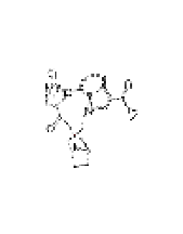 COc1cccc2c(C(=O)C3CC3)cn(CCCN3C4CCC3CC(CC(=O)c3ccc(Cl)cc3)C4)c12